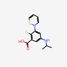 CC(C)Nc1cc(C(=O)O)c(F)c(N2C=CC=CS2)c1